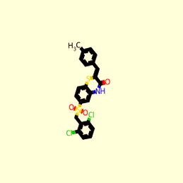 Cc1ccc(C=C2Sc3ccc(S(=O)(=O)Cc4c(Cl)cccc4Cl)cc3NC2=O)cc1